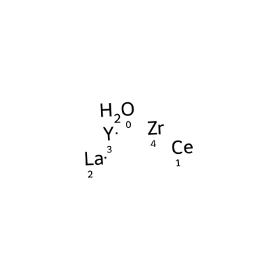 O.[Ce].[La].[Y].[Zr]